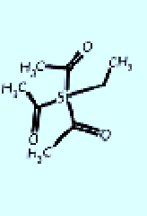 CC[Si](C(C)=O)(C(C)=O)C(C)=O